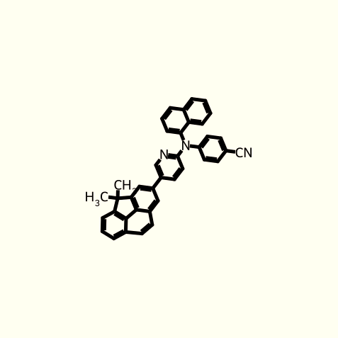 CC1(C)c2cccc3ccc4cc(-c5ccc(N(c6ccc(C#N)cc6)c6cccc7ccccc67)nc5)cc1c4c23